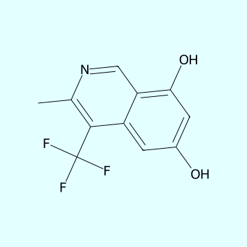 Cc1ncc2c(O)cc(O)cc2c1C(F)(F)F